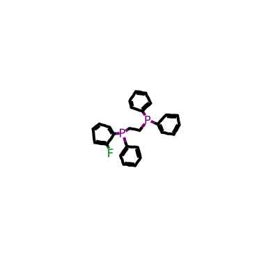 Fc1ccccc1P(CCP(c1ccccc1)c1ccccc1)c1ccccc1